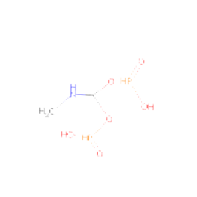 CNC(O[PH](=O)O)O[PH](=O)O